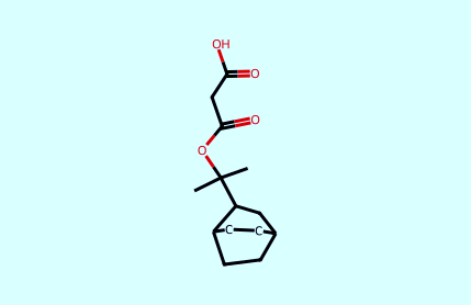 CC(C)(OC(=O)CC(=O)O)C1CC2CCC1CC2